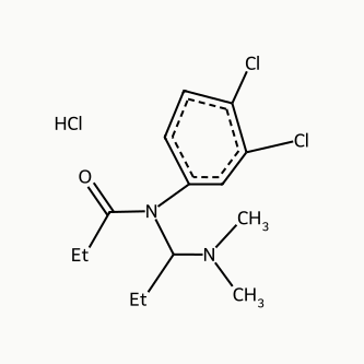 CCC(=O)N(c1ccc(Cl)c(Cl)c1)C(CC)N(C)C.Cl